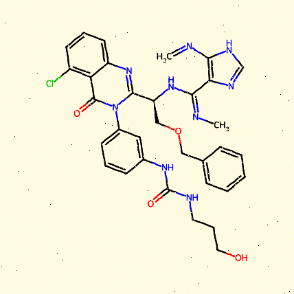 C=Nc1[nH]cnc1/C(=N\C)N[C@@H](COCc1ccccc1)c1nc2cccc(Cl)c2c(=O)n1-c1cccc(NC(=O)NCCCO)c1